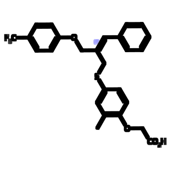 Cc1cc(SC/C(=C\c2ccccc2)COc2ccc(C(F)(F)F)cc2)ccc1OCC(=O)O